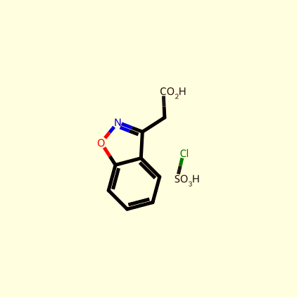 O=C(O)Cc1noc2ccccc12.O=S(=O)(O)Cl